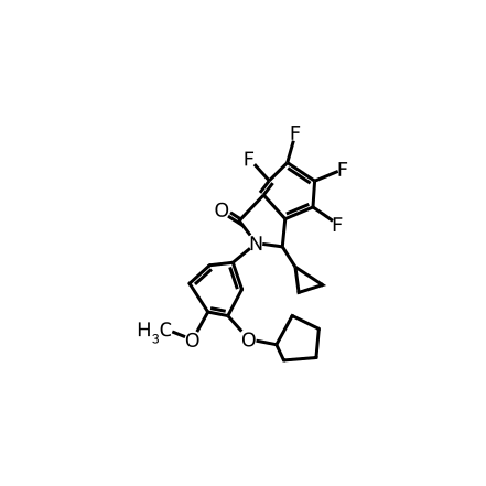 COc1ccc(N2C(=O)c3c(F)c(F)c(F)c(F)c3C2C2CC2)cc1OC1CCCC1